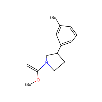 C=C(OC(C)(C)C)N1CCC(c2cccc(C(C)(C)C)c2)C1